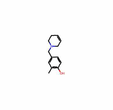 Cc1cc(CN2CC=CCC2)ccc1O